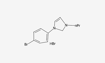 Br.CCCN1C=CN(c2ccc(Br)cc2)C1